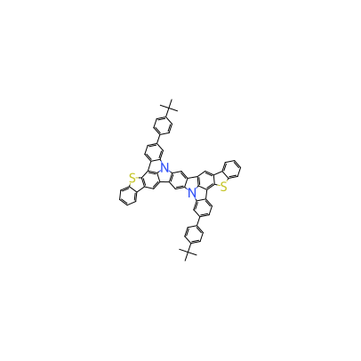 CC(C)(C)c1ccc(-c2ccc3c4c5sc6ccccc6c5cc5c6cc7c(cc6n(c3c2)c54)c2cc3c4ccccc4sc3c3c4ccc(-c5ccc(C(C)(C)C)cc5)cc4n7c23)cc1